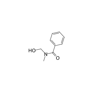 CN(CO)C(=O)c1ccccc1